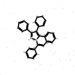 C1=CC(c2c(-c3ccccc3)nn3c(-c4ccccc4)cc4ccccc4c23)=CCC1